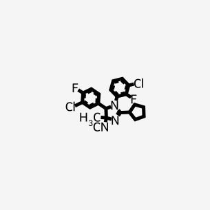 CC1(C#N)N=C(C2CCCC2)N(c2cccc(Cl)c2F)C1c1ccc(F)c(Cl)c1